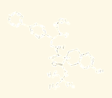 COC(=O)C(CNC(=O)[N+]1(C(=O)OC(C)(C)C)CCc2ccc(O)cc2C1)c1ccc(-c2ccccc2)cc1